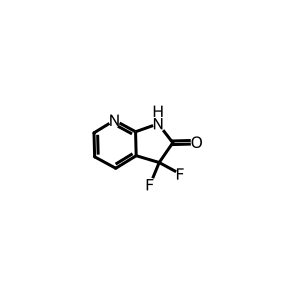 O=C1Nc2ncccc2C1(F)F